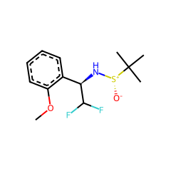 COc1ccccc1[C@@H](N[S@@+]([O-])C(C)(C)C)C(F)F